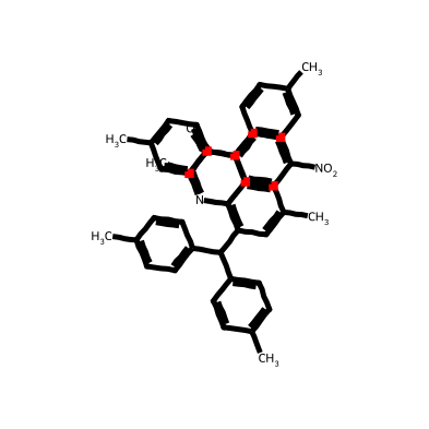 CC(=Nc1c(C(c2ccc(C)cc2)c2ccc(C)cc2)cc(C)cc1C(c1ccc(C)cc1)c1ccc(C)cc1)C(=O)c1ccc([N+](=O)[O-])cc1